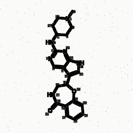 CN1CCC(Nc2ncc3c(C4CNC(=O)c5ccccc5O4)c[nH]c3n2)CC1